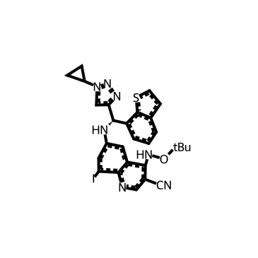 CC(C)(C)ONc1c(C#N)cnc2c(I)cc(N[C@H](c3cn(C4CC4)nn3)c3cccc4ccsc34)cc12